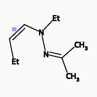 CC/C=C\N(CC)N=C(C)C